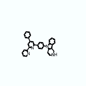 C1=Cc2c(c3ccccc3n2-c2ccc(-c3cc(-c4ccccc4)cc(-c4ccccn4)n3)cc2)CN1